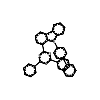 c1ccc(-c2ccc(-n3c4ccccc4c4cccc(-c5nc(-c6ccccc6)nc(-c6ccccc6)n5)c43)cc2)cc1